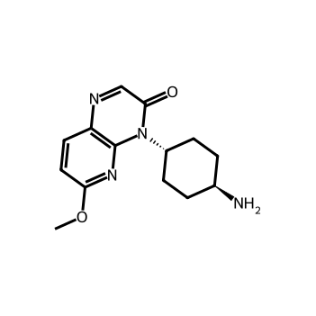 COc1ccc2ncc(=O)n([C@H]3CC[C@H](N)CC3)c2n1